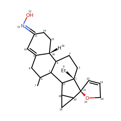 CC[C@]12CCC3C(C(C)CC4=CC(=NO)CC[C@@H]43)C1C1CC1[C@@]21C=CCO1